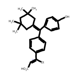 CC/C(=C\C(=O)O)c1ccc(C(=C2CC(C)(C)CC(C)(C)C2)c2ccc(O)cc2)cc1